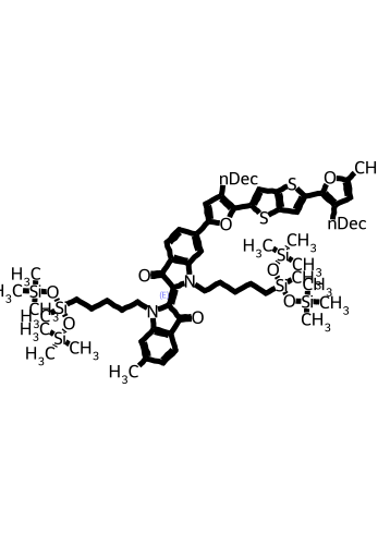 CCCCCCCCCCc1cc(C)oc1-c1cc2sc(-c3oc(-c4ccc5c(c4)N(CCCCC[Si](C)(O[Si](C)(C)C)O[Si](C)(C)C)/C(=C4\C(=O)c6ccc(C)cc6N4CCCCC[Si](C)(O[Si](C)(C)C)O[Si](C)(C)C)C5=O)cc3CCCCCCCCCC)cc2s1